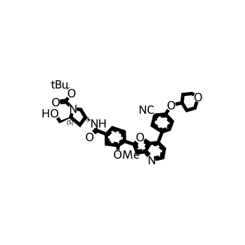 COc1cc(C(=O)N[C@@H]2C[C@@H](CO)N(C(=O)OC(C)(C)C)C2)ccc1-c1cc2nccc(-c3ccc(OC4CCOCC4)c(C#N)c3)c2o1